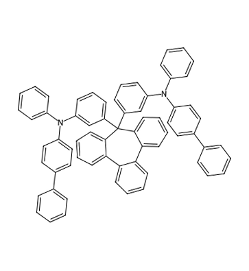 c1ccc(-c2ccc(N(c3ccccc3)c3cccc(C4(c5cccc(N(c6ccccc6)c6ccc(-c7ccccc7)cc6)c5)c5ccccc5-c5ccccc5-c5ccccc54)c3)cc2)cc1